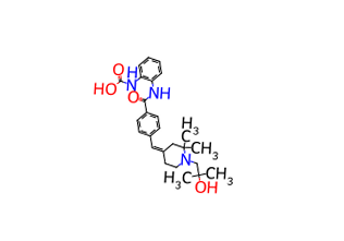 CC(C)(O)CN1CCC(=Cc2ccc(C(=O)Nc3ccccc3NC(=O)O)cc2)CC1(C)C